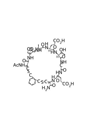 CC(=O)N[C@H]1CSCc2ccccc2CSC[C@@H](C(N)=O)NC(=O)[C@H](CCC(=O)O)NC(=O)CNC(=O)[C@H]([C@H](C)O)NC(=O)[C@H](CCC(=O)O)NC(=O)[C@H](C)NC(=O)[C@H](CC(=O)O)NC1=O